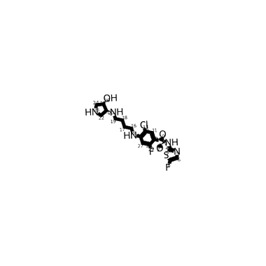 O=S(=O)(Nc1ncc(F)s1)c1cc(Cl)c(NCCCCN[C@@H]2CNC[C@H]2O)cc1F